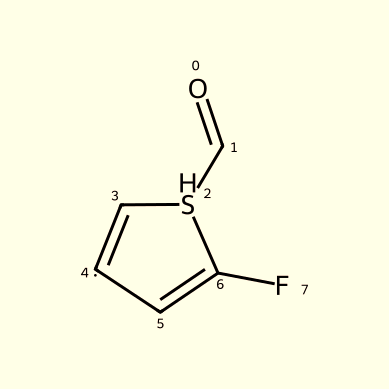 O=C[SH]1C=[C]C=C1F